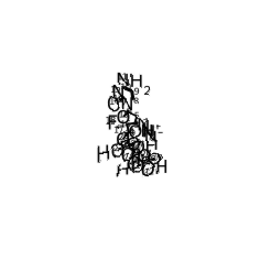 [N-]=[N+]=NC1(O)C[C@H](n2ccc(N)nc2=O)O[C@]1(CF)COP(=O)(O)OP(=O)(O)OP(=O)(O)O